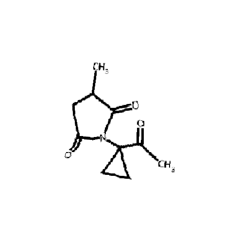 CC(=O)C1(N2C(=O)CC(C)C2=O)CC1